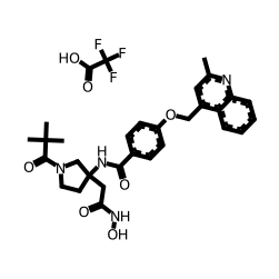 Cc1cc(COc2ccc(C(=O)NC3(CC(=O)NO)CCN(C(=O)C(C)(C)C)C3)cc2)c2ccccc2n1.O=C(O)C(F)(F)F